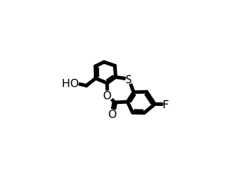 O=C1OC2=C(CCC=C2CO)Sc2cc(F)ccc21